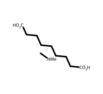 CNC.O=C(O)CCCCCCCC(=O)O